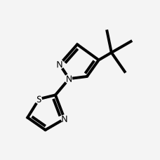 CC(C)(C)c1cnn(-c2nccs2)c1